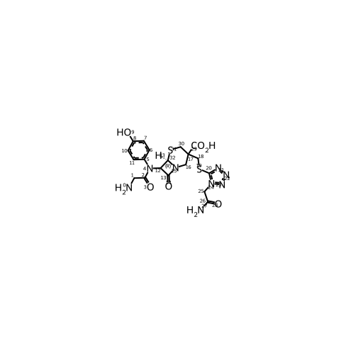 NCC(=O)N(c1ccc(O)cc1)C1C(=O)N2CC(CSc3nnnn3CC(N)=O)(C(=O)O)CS[C@H]12